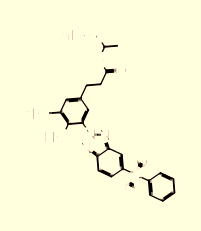 CCCCCCC(C)OC(=O)CCc1cc(-n2nc3ccc(S(=O)(=O)c4ccccc4)cc3n2)c(O)c(C(C)(C)C)c1